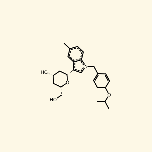 Cc1ccc2c(c1)c([C@H]1C[C@@H](O)C[C@@H](CO)O1)cn2CC1=CCC(OC(C)C)C=C1